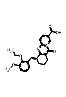 CCOc1c(/C=C2\CCCc3c2nc2ccc(C(=O)O)cn2c3=O)cccc1OC